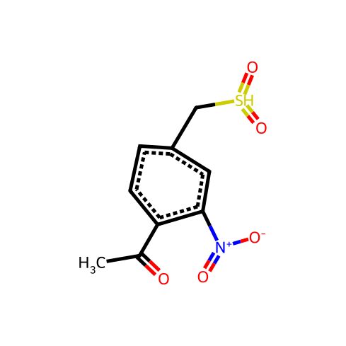 CC(=O)c1ccc(C[SH](=O)=O)cc1[N+](=O)[O-]